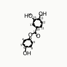 O=C(Oc1ccc(O)cc1)c1ccc(O)c(O)c1